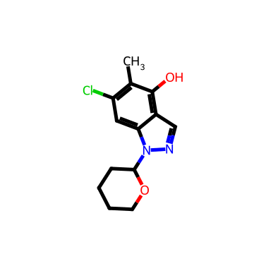 Cc1c(Cl)cc2c(cnn2C2CCCCO2)c1O